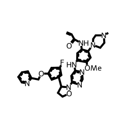 C=CC(=O)Nc1cc(Nc2cc(N3OCCC3c3cc(F)cc(OCc4ccccn4)c3)ncn2)c(OC)cc1N1CCN(C)CC1